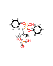 CCCCC(CC)C[PH](O)(Oc1ccccc1)Oc1ccccc1.OP(O)O